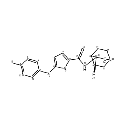 Cc1ccc(Sc2ccc(C(=O)N[C@H]3CN4CCC3CC4)s2)cn1